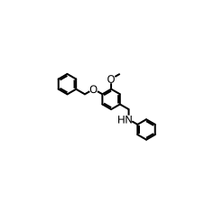 COc1cc(CNc2ccccc2)ccc1OCc1ccccc1